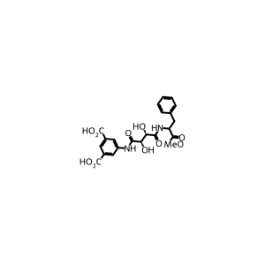 COC(=O)C(Cc1ccccc1)NC(=O)[C@H](O)[C@@H](O)C(=O)Nc1cc(C(=O)O)cc(C(=O)O)c1